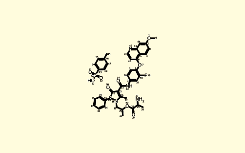 COc1ccc2c(Oc3ccc(NC(=O)c4c(C)n(CC(C)OC(=O)C(C)N)n(-c5ccccc5)c4=O)cc3F)ccnc2c1.Cc1ccc(S(=O)(=O)O)cc1